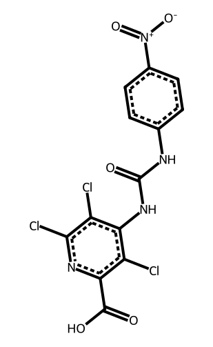 O=C(Nc1ccc([N+](=O)[O-])cc1)Nc1c(Cl)c(Cl)nc(C(=O)O)c1Cl